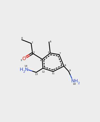 CCC(=O)c1c(C)cc(CN)cc1CN